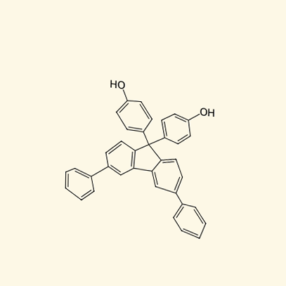 Oc1ccc(C2(c3ccc(O)cc3)c3ccc(-c4ccccc4)cc3-c3cc(-c4ccccc4)ccc32)cc1